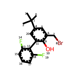 CC(C)(C)c1cc(CBr)c(O)c(-c2c(F)cccc2F)c1